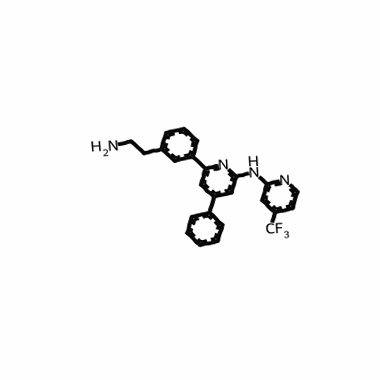 NCCc1cccc(-c2cc(-c3ccccc3)cc(Nc3cc(C(F)(F)F)ccn3)n2)c1